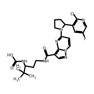 CC(C)(C)C(CCNC(=O)c1cnn2ccc(N3CCCC3c3cc(F)cnc3Cl)nc12)NC(=O)O